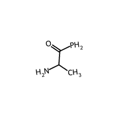 CC(N)C(=O)P